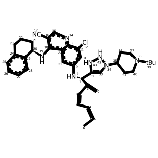 C=C(/C=C\C=C/C)[C@H](Nc1cc(Cl)c2ncc(C#N)c(N[C@@H]3CCCc4ccccc43)c2c1)C1=CN(C2CCN(C(C)(C)C)CC2)NN1